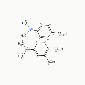 CCCCCCCCc1cc(N(C)C)ccc1C(=O)O.CCOC(=O)c1ccc(N(C)C)cc1